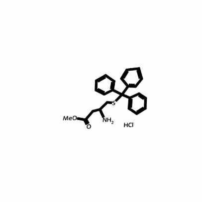 COC(=O)CC(N)CSC(c1ccccc1)(c1ccccc1)c1ccccc1.Cl